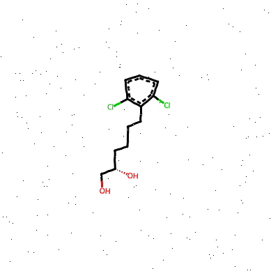 OC[C@@H](O)CCCCc1c(Cl)cccc1Cl